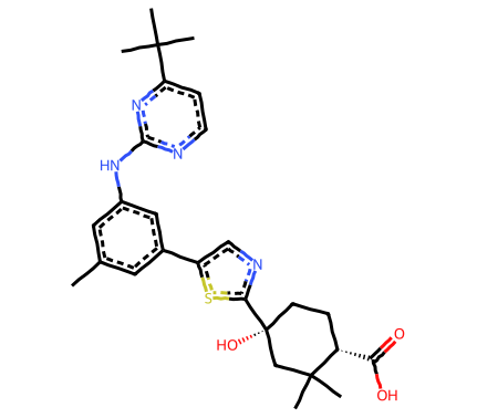 Cc1cc(Nc2nccc(C(C)(C)C)n2)cc(-c2cnc([C@@]3(O)CC[C@H](C(=O)O)C(C)(C)C3)s2)c1